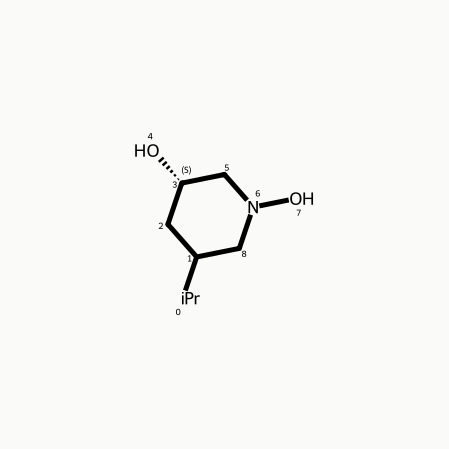 CC(C)C1C[C@H](O)CN(O)C1